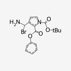 CC(C)(C)OC(=O)n1ccc(C(N)Br)c1C(=O)Oc1ccccc1